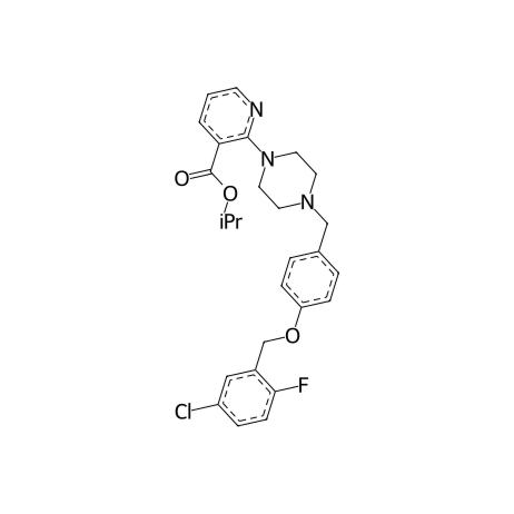 CC(C)OC(=O)c1cccnc1N1CCN(Cc2ccc(OCc3cc(Cl)ccc3F)cc2)CC1